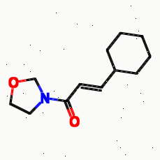 O=C(C=CC1CCCCC1)N1CCOC1